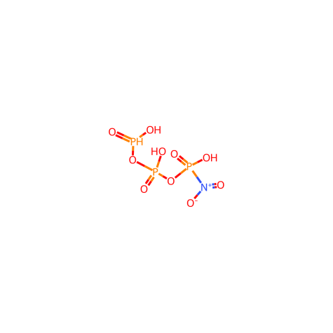 O=[N+]([O-])P(=O)(O)OP(=O)(O)O[PH](=O)O